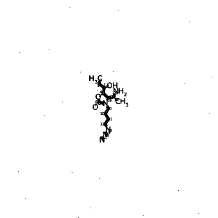 CC[C@@H](O)[C@H]1OC(=O)N(CCCCN=[N+]=[N-])[C@@H]1[C@@H](C)N